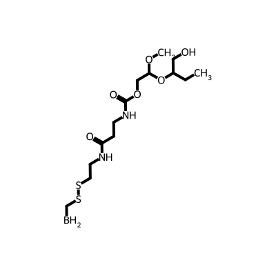 BCSSCCNC(=O)CCNC(=O)OCC(OC)OC(CC)CO